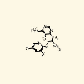 CCc1ncnc(NC(C)COc2ncc(Cl)cc2F)c1Cl